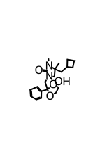 CN1C(=O)N(CC2(c3ccccc3)OCCO2)C(O)C1(C)CC1CCC1